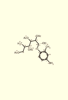 Bc1ccc(O[C@@H](O)C(OC(C)=O)C(OC(C)=O)[C@H](OC(C)=O)C(C)COC(C)=O)c(C)c1